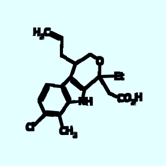 C=CCC1COC(CC)(CC(=O)O)c2[nH]c3c(C)c(Cl)ccc3c21